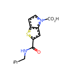 CC(C)CNC(=O)c1cc2c(ccn2C(=O)O)s1